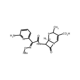 CCCCON=C(C(=O)NC1C(=O)N2C=C(C(=O)O)C(C)S[C@H]12)c1cccc(N)n1